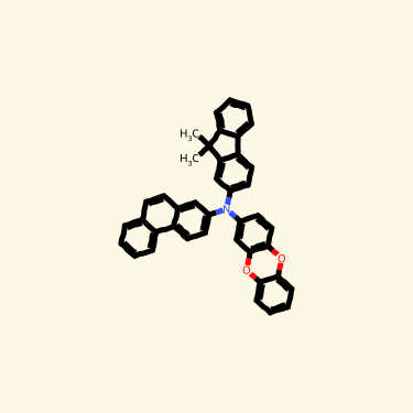 CC1(C)c2ccccc2-c2ccc(N(c3ccc4c(c3)Oc3ccccc3O4)c3ccc4c(ccc5ccccc54)c3)cc21